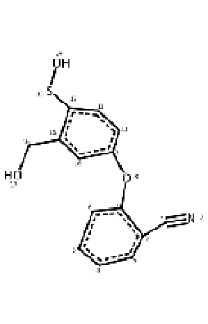 N#Cc1ccccc1Oc1ccc(SO)c(CO)c1